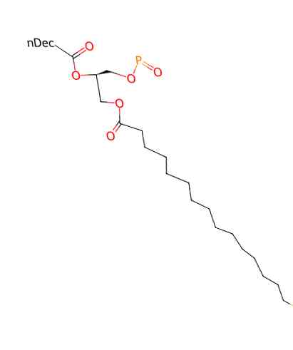 CCCCCCCCCCC(=O)O[C@@H](COP=O)COC(=O)CCCCCCCCCCCCCCS